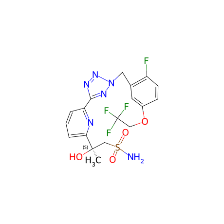 C[C@@](O)(CS(N)(=O)=O)c1cccc(-c2nnn(Cc3cc(OCC(F)(F)F)ccc3F)n2)n1